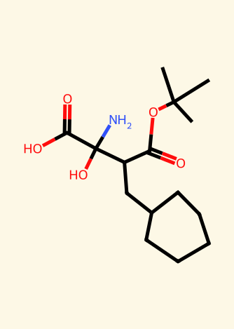 CC(C)(C)OC(=O)C(CC1CCCCC1)C(N)(O)C(=O)O